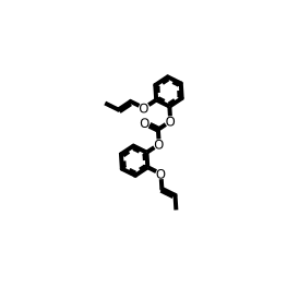 CC=COc1ccccc1OC(=O)Oc1ccccc1OC=CC